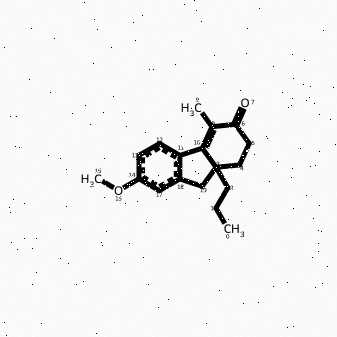 CCCC12CCC(=O)C(C)=C1c1ccc(OC)cc1C2